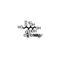 N.O=S(=O)([O-])OOS(=O)(=O)O.OCC(O)C(O)C(O)C(O)CO.[K+].[Na+].[OH-]